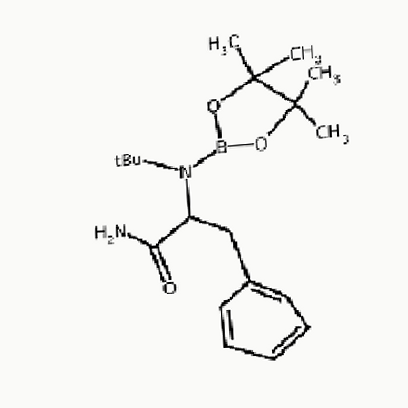 CC(C)(C)N(B1OC(C)(C)C(C)(C)O1)C(Cc1ccccc1)C(N)=O